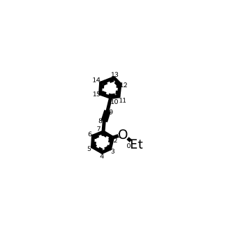 CCOc1ccccc1C#Cc1ccccc1